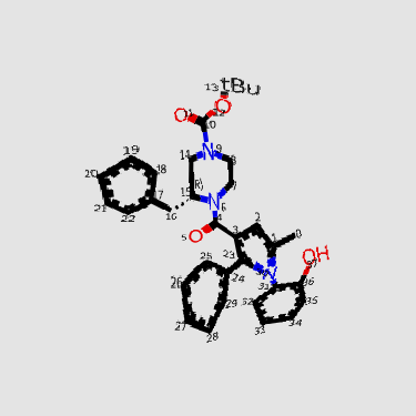 Cc1cc(C(=O)N2CCN(C(=O)OC(C)(C)C)C[C@H]2Cc2ccccc2)c(-c2ccccc2)n1-c1ccccc1O